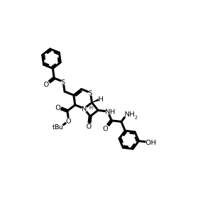 CC(C)(C)OC(=O)C1C(CSC(=O)c2ccccc2)=CS[C@@H]2C(NC(=O)C(N)c3cccc(O)c3)C(=O)N12